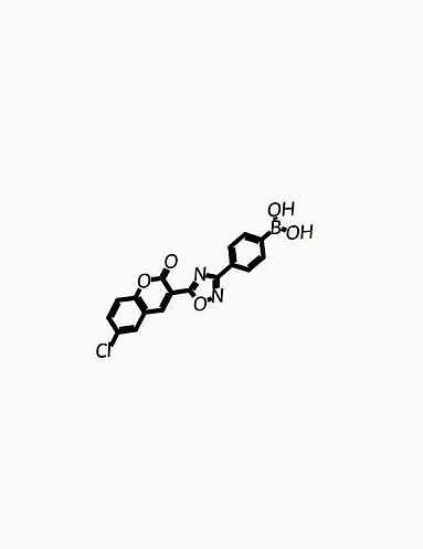 O=c1oc2ccc(Cl)cc2cc1-c1nc(-c2ccc(B(O)O)cc2)no1